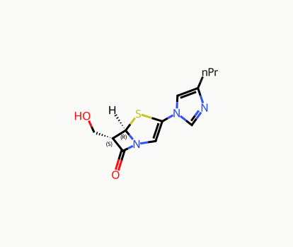 CCCc1cn(C2=CN3C(=O)[C@H](CO)[C@H]3S2)cn1